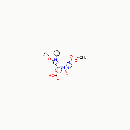 CCOC(=O)N1CCN(C(=O)C(CCC(=O)O)NC(=O)c2cc(OCC3CC3)n(-c3ccccc3)n2)CC1